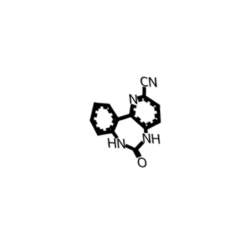 N#Cc1ccc2c(n1)-c1ccccc1NC(=O)N2